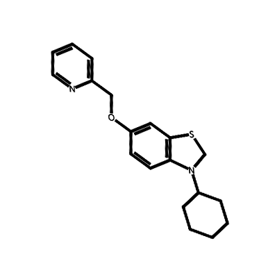 c1ccc(COc2ccc3c(c2)SCN3C2CCCCC2)nc1